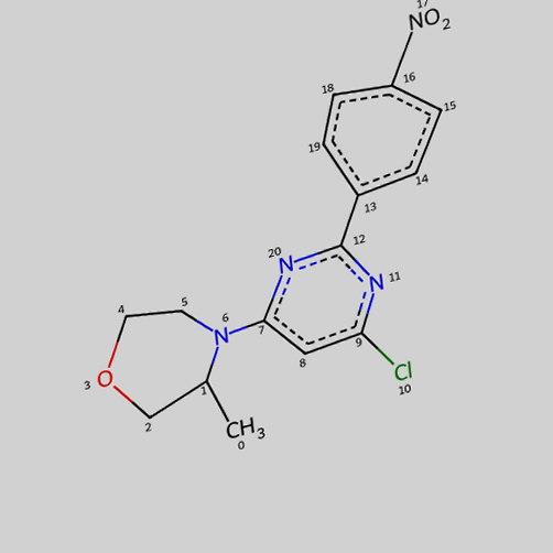 CC1COCCN1c1cc(Cl)nc(-c2ccc([N+](=O)[O-])cc2)n1